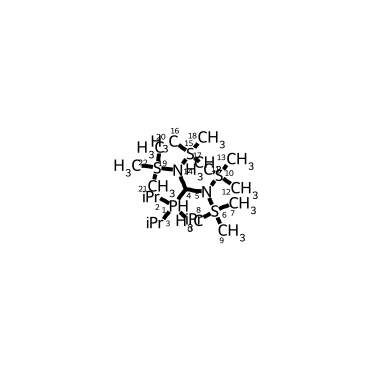 CC(C)[PH](C(C)C)(C(C)C)C(N(S(C)(C)C)S(C)(C)C)N(S(C)(C)C)S(C)(C)C